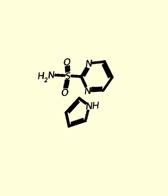 NS(=O)(=O)c1ncccn1.c1cc[nH]c1